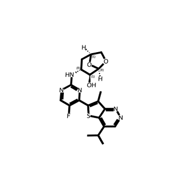 Cc1c(-c2nc(N[C@@H]3C[C@H]4CO[C@H](O4)[C@H]3O)ncc2F)sc2c(C(C)C)cnnc12